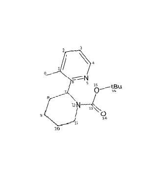 Cc1cccnc1C1CCCCN1C(=O)OC(C)(C)C